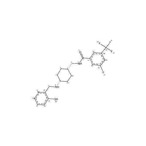 O=C(NC[C@H]1CC[C@@H](NCc2ncccc2O)CC1)c1cc(F)cc(C(F)(F)F)c1